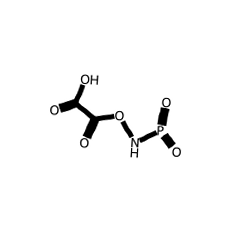 O=C(O)C(=O)ONP(=O)=O